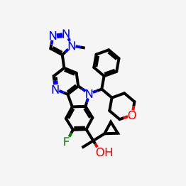 Cn1nncc1-c1cnc2c3cc(F)c(C(C)(O)C4CC4)cc3n(C(c3ccccc3)C3CCOCC3)c2c1